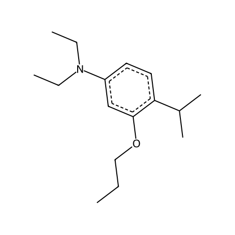 CCCOc1cc(N(CC)CC)ccc1C(C)C